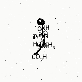 CC(C)Sc1c(OCC(C)(C)NC(=O)CCCCC(=O)O)noc1C(=O)NC1C2CC3CC(C2)CC1C3